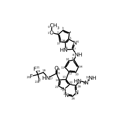 COc1ccc2nc(Nc3ccc(-c4c(C(=O)NCC(F)(F)F)cn5ncnc(NN=N)c45)cc3)[nH]c2c1